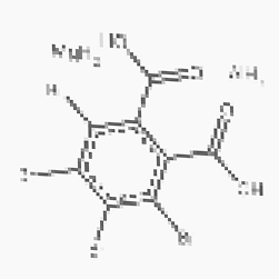 O=C(O)c1c(Br)c(Br)c(Br)c(Br)c1C(=O)O.[AlH3].[MgH2]